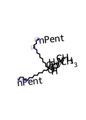 CCCCC/C=C\C/C=C\CCCCCCCCC1(CCCCCCCC/C=C\C/C=C\CCCCC)O[C@@H]2C3CC([C@@H]2O1)[C@@H](N(C)C)C3